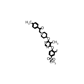 Cc1ccc(C(=O)CN2CCC(Oc3ncnc(Oc4ccc(S(C)(=O)=O)cc4F)c3C)CC2)cc1